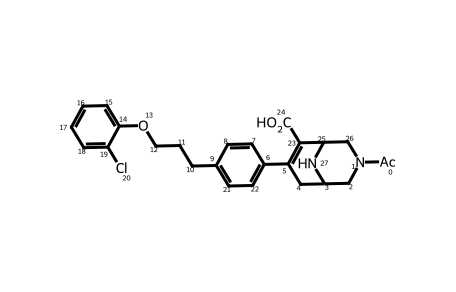 CC(=O)N1CC2CC(c3ccc(CCCOc4ccccc4Cl)cc3)=C(C(=O)O)C(C1)N2